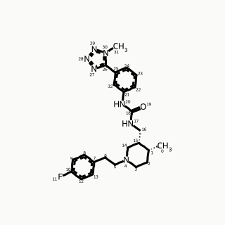 C[C@@H]1CCN(CCc2ccc(F)cc2)C[C@@H]1CNC(=O)Nc1cccc(-c2nnnn2C)c1